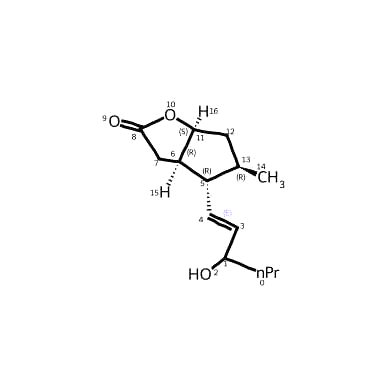 CCCC(O)/C=C/[C@@H]1[C@H]2CC(=O)O[C@H]2C[C@H]1C